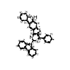 c1ccc(-c2nc(-n3c4ccccc4c4ccccc43)nc3c2sc2cc4[nH]c5ccccc5c4cc23)cc1